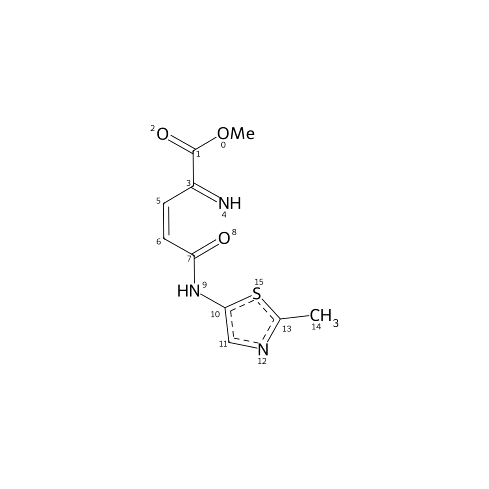 COC(=O)C(=N)/C=C\C(=O)Nc1cnc(C)s1